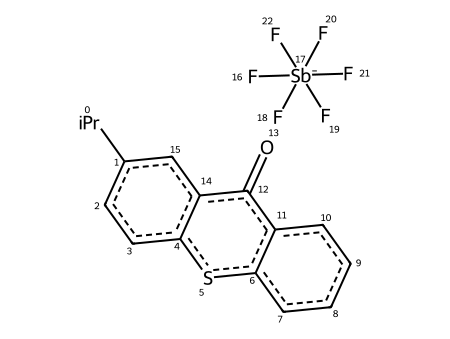 CC(C)c1ccc2sc3ccccc3c(=O)c2c1.[F][Sb-]([F])([F])([F])([F])[F]